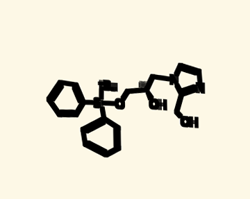 CC(C)(C)[Si](OC[C@H](O)Cn1ccnc1CO)(c1ccccc1)c1ccccc1